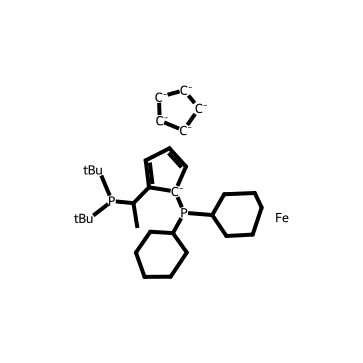 CC(c1ccc[c-]1P(C1CCCCC1)C1CCCCC1)P(C(C)(C)C)C(C)(C)C.[Fe].[cH-]1[cH-][cH-][cH-][cH-]1